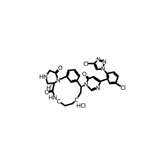 Cl.O=C1NCCCCC[C@H](n2cnc(-c3cc(Cl)ccc3-n3cc(Cl)nn3)cc2=O)c2cccc(c2)N2C(=O)CNC[C@H]12